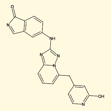 O=C1N=Cc2cc(Nc3nc4cccc(Cc5ccnc(O)c5)n4n3)ccc21